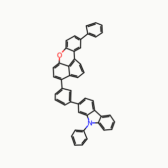 c1ccc(-c2ccc3c(c2)-c2cccc4c(-c5cccc(-c6ccc7c8ccccc8n(-c8ccccc8)c7c6)c5)ccc(c24)O3)cc1